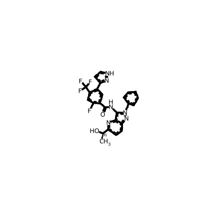 C[C@@H](O)c1ccc2nn(-c3ccccc3)c(NC(=O)c3cc(-c4cc[nH]n4)c(C(F)(F)F)cc3F)c2n1